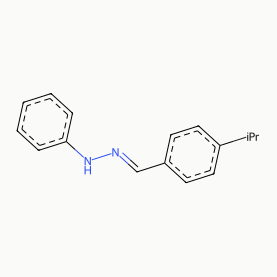 CC(C)c1ccc(/C=N/Nc2ccccc2)cc1